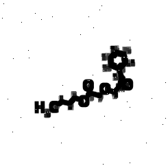 CCCCOC(=O)COC[C@@H]1OC1c1ccccc1